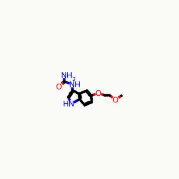 COCCOc1ccc2[nH]cc(NC(N)=O)c2c1